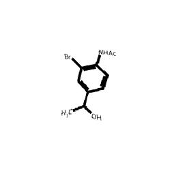 CC(=O)Nc1ccc(C(C)O)cc1Br